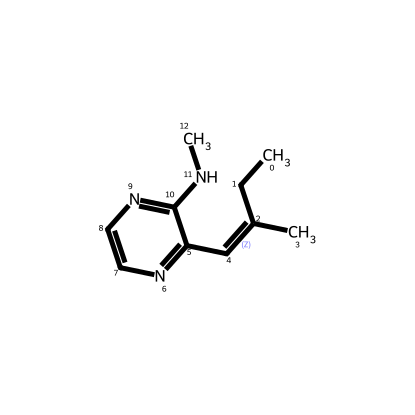 CC/C(C)=C\c1nccnc1NC